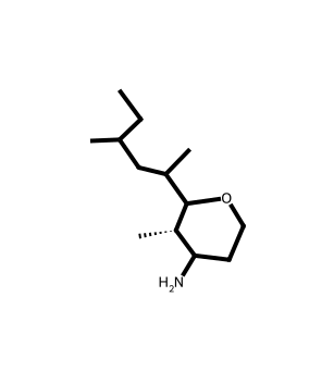 CCC(C)CC(C)C1OCCC(N)[C@@H]1C